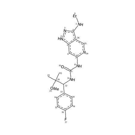 CCNc1n[nH]c2cc(NC(=O)NC(c3ccc(F)cc3)C(C)(C)OC)ncc12